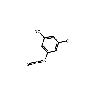 N#Cc1cc(Cl)cc(N=C=S)c1